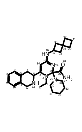 CCN1C(C2Cc3ccccc3CN2)=CC(NC2CC3(CCC3)C2)=NC1(C(N)=O)N1CCCCC1